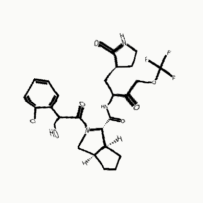 O=C(COC(F)(F)F)C(C[C@@H]1CCNC1=O)NC(=O)[C@@H]1[C@H]2CCC[C@H]2CN1C(=O)C(O)c1ccccc1Cl